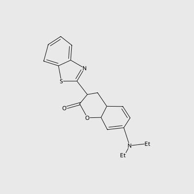 CCN(CC)C1=CC2OC(=O)C(c3nc4ccccc4s3)CC2C=C1